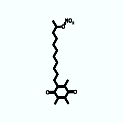 CC1=C(C)C(=O)C(CCCCCCCCCC(C)O[N+](=O)[O-])=C(C)C1=O